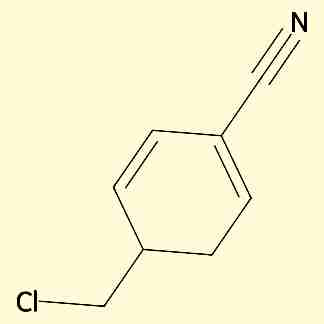 N#CC1=CCC(CCl)C=C1